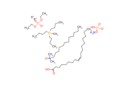 CCCCCCCC/C=C\CCCCCCCC(=O)O.CCCCCCCCCCCC[N+](C)(C)[O-].CCCC[P+](C)(CCCC)CCCC.CCOP(=O)([O-])OCC.N.O=P([O-])([O-])O.[K+].[K+]